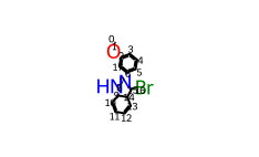 COc1cccc(N2NC3C=CC=CC3C2Br)c1